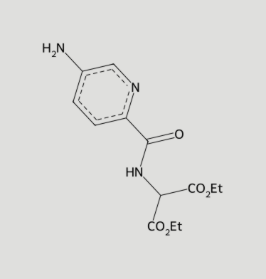 CCOC(=O)C(NC(=O)c1ccc(N)cn1)C(=O)OCC